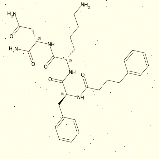 NCCCC[C@H](NC(=O)[C@H](Cc1ccccc1)NC(=O)CCCc1ccccc1)C(=O)N[C@@H](CC(N)=O)C(N)=O